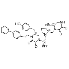 CCCC[C@H]1CNC(=O)C(=O)N1C[C@@H]1CCCN1C[C@@H](CCC)N1C[C@@H](Cc2ccc(O)cc2)N(CCc2ccc(-c3ccccc3)cc2)C(=O)C1=O